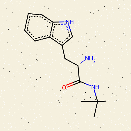 CC(C)(C)NC(=O)[C@@H](N)Cc1c[nH]c2ccccc12